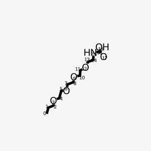 CCCOCCOCCOCCOCCNC(=O)O